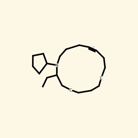 CCC1CCCCCCCC/C=C\CCCN1C1CCCC1